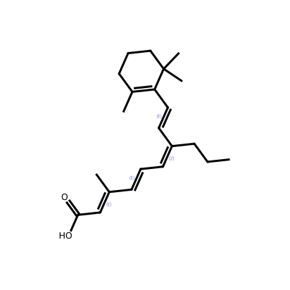 CCCC(=C/C=C/C(C)=C/C(=O)O)/C=C/C1=C(C)CCCC1(C)C